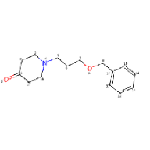 O=C1CCN(CCCOCc2ccccc2)CC1